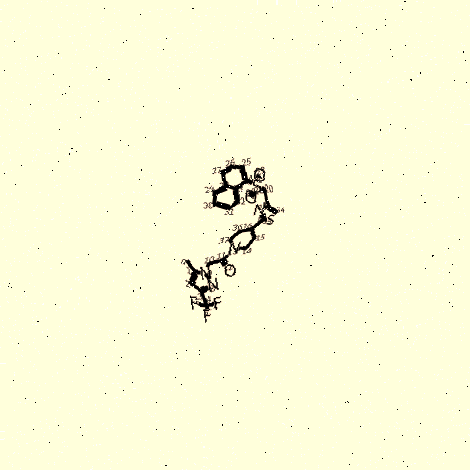 Cc1cc(C(F)(F)F)nn1CC(=O)N1CCC(c2nc(CS(=O)(=O)c3cccc4ccccc34)cs2)CC1